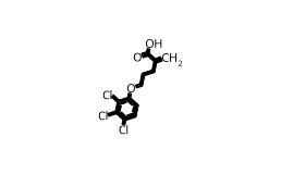 C=C(CCCOc1ccc(Cl)c(Cl)c1Cl)C(=O)O